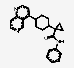 O=C(Nc1ccccc1)C1(C2CCC(c3ccnc4ccncc34)CC2)CC1